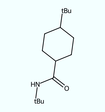 CC(C)(C)NC(=O)C1CCC(C(C)(C)C)CC1